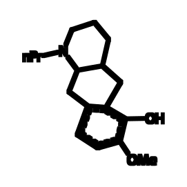 CCCN1CCCC2Cc3c(ccc(OC)c3O)CC21